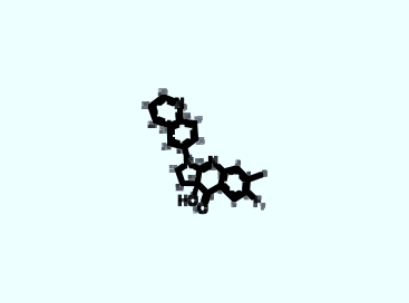 Cc1cc2c(cc1F)C(=O)[C@]1(O)CCN(c3ccc4ncccc4c3)C1=N2